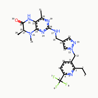 CCc1nc(C(F)(F)F)ccc1Cn1cc(CNc2nc(C)c3c(n2)N(C)[C@@H](C)C(=O)N3)cn1